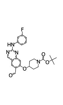 CC(C)(C)OC(=O)N1CCC(Oc2cc3nc(Nc4cccc(F)c4)ncc3cc2C=O)CC1